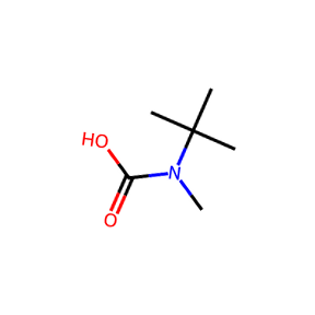 CN(C(=O)O)C(C)(C)C